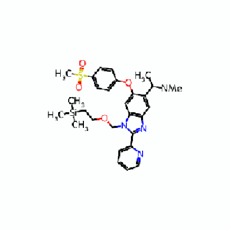 CNC(C)c1cc2nc(-c3ccccn3)n(COCC[Si](C)(C)C)c2cc1Oc1ccc(S(C)(=O)=O)cc1